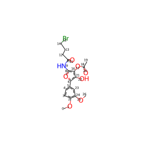 COc1ccc(-c2oc(NC(=O)CCCBr)c(OC(C)=O)c2O)cc1OC